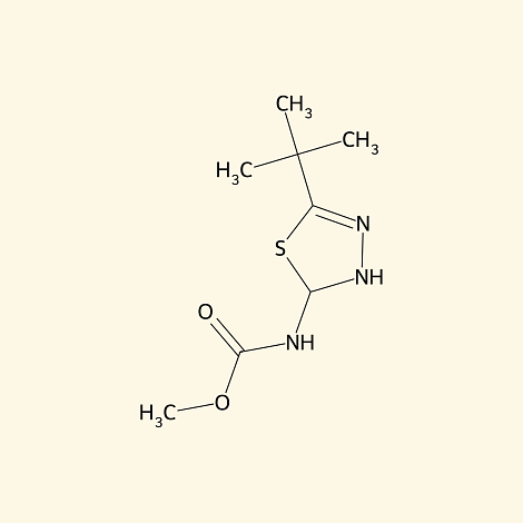 COC(=O)NC1NN=C(C(C)(C)C)S1